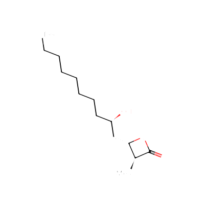 CCCCCCCCCCCCCCCCC[C@@H](O)C[C@@H]1OC(=O)[C@H]1SC